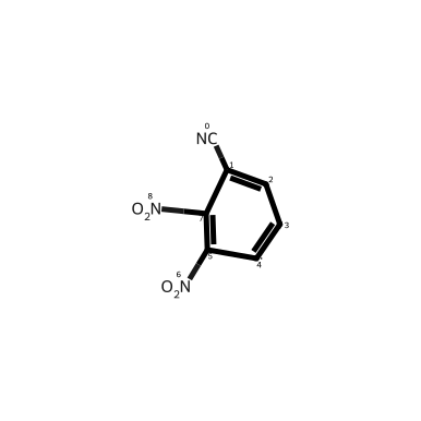 N#Cc1c[c][c]c([N+](=O)[O-])c1[N+](=O)[O-]